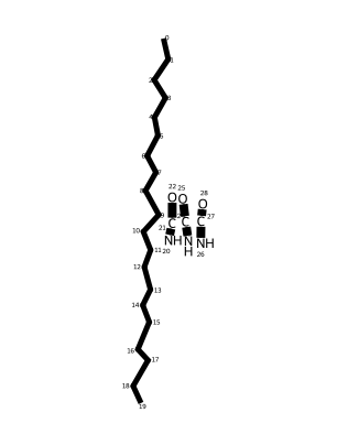 CCCCCCCCCCCCCCCCCCCC.N=C=O.N=C=O.N=C=O